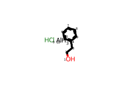 Cl.OCCc1ccccc1.[AlH3]